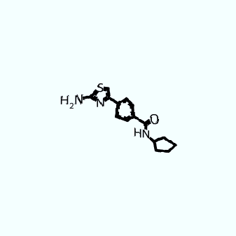 Nc1nc(-c2ccc(C(=O)NC3CCCC3)cc2)cs1